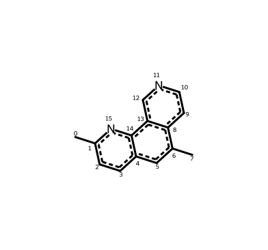 Cc1ccc2cc(C)c3ccncc3c2n1